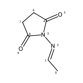 CC=NN1C(=O)CCC1=O